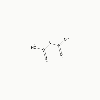 O=P(=O)CC(O)=S